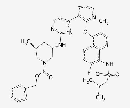 Cc1ccc2c(NS(=O)(=O)CC(C)C)c(F)ccc2c1Oc1ncccc1-c1ccnc(N[C@H]2C[C@H](C)CN(C(=O)OCc3ccccc3)C2)n1